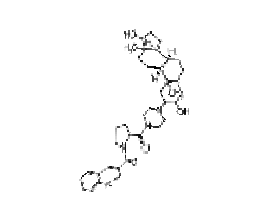 C[C@]12CC(N3CCN(C(=O)[C@@H]4CCCN4C(=O)c4cnc5ccccc5c4)CC3)C(O)CC1CC[C@@H]1[C@H]2CC[C@]2(C)C(O)CC[C@@H]12